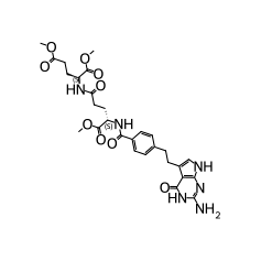 COC(=O)CC[C@H](NC(=O)CC[C@H](NC(=O)c1ccc(CCc2c[nH]c3nc(N)[nH]c(=O)c23)cc1)C(=O)OC)C(=O)OC